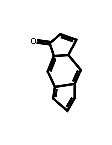 O=C1C=CC2C=C3C=CC=C3C=C12